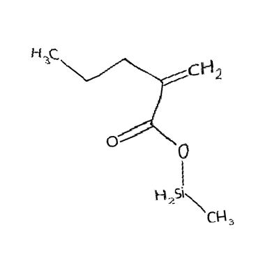 C=C(CCC)C(=O)O[SiH2]C